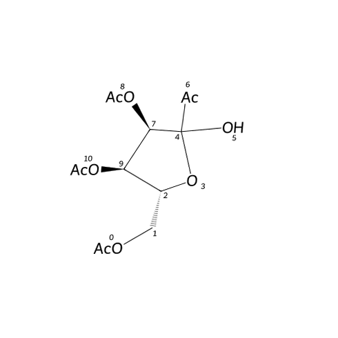 CC(=O)OC[C@H]1OC(O)(C(C)=O)[C@H](OC(C)=O)[C@@H]1OC(C)=O